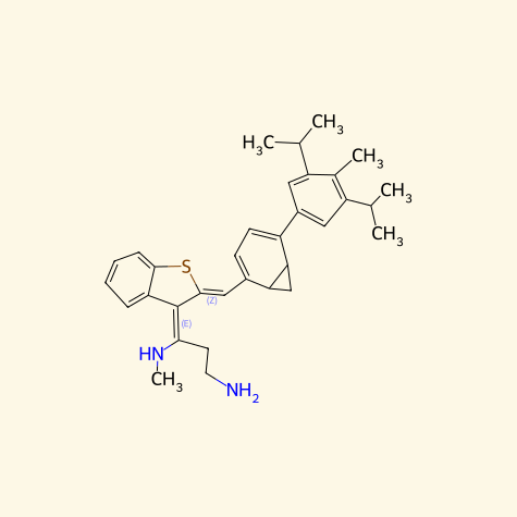 CN/C(CCN)=c1/c(=C/C2=CC=C(c3cc(C(C)C)c(C)c(C(C)C)c3)C3CC23)sc2ccccc12